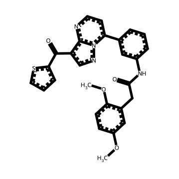 COc1ccc(OC)c(CC(=O)Nc2cccc(-c3ccnc4c(C(=O)c5cccs5)cnn34)c2)c1